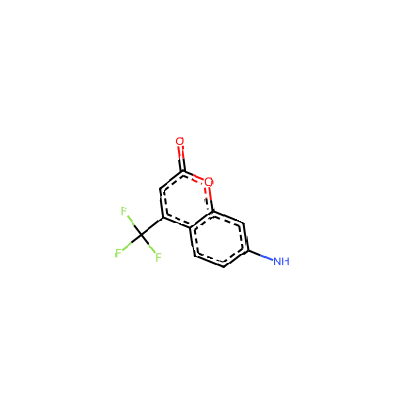 [NH]c1ccc2c(C(F)(F)F)cc(=O)oc2c1